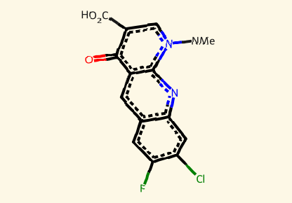 CNn1cc(C(=O)O)c(=O)c2cc3cc(F)c(Cl)cc3nc21